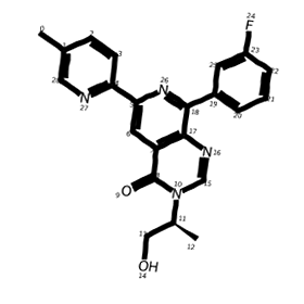 Cc1ccc(-c2cc3c(=O)n([C@@H](C)CO)cnc3c(-c3cccc(F)c3)n2)nc1